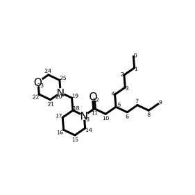 CCCCCC(CCCC)CC(=O)N1CCCCC1CN1CCOCC1